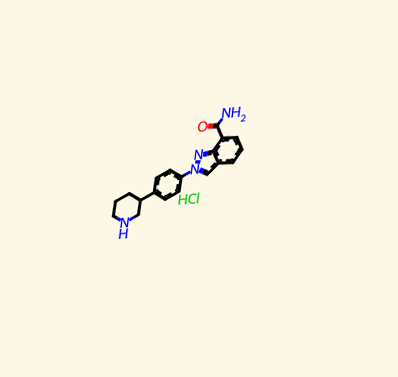 Cl.NC(=O)c1cccc2cn(-c3ccc(C4CCCNC4)cc3)nc12